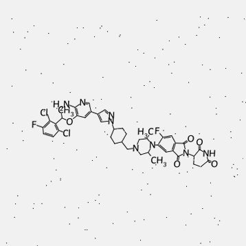 CC(Oc1cc(-c2cnn(C3CCC(CN4CC(C)N(c5cc6c(cc5F)C(=O)N(C5CCC(=O)NC5=O)C6=O)C(C)C4)CC3)c2)cnc1N)c1c(Cl)ccc(F)c1Cl